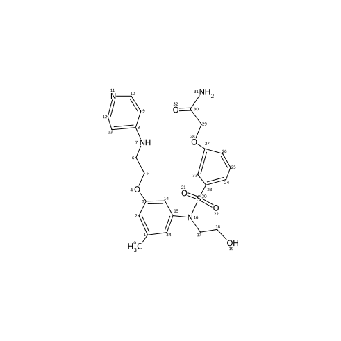 Cc1cc(OCCNc2ccncc2)cc(N(CCO)S(=O)(=O)c2cccc(OCC(N)=O)c2)c1